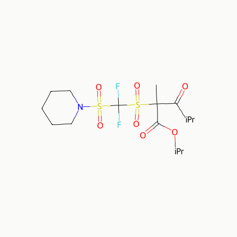 CC(C)OC(=O)C(C)(C(=O)C(C)C)S(=O)(=O)C(F)(F)S(=O)(=O)N1CCCCC1